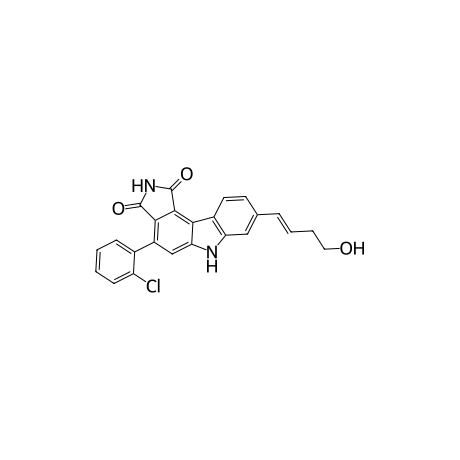 O=C1NC(=O)c2c1c(-c1ccccc1Cl)cc1[nH]c3cc(C=CCCO)ccc3c21